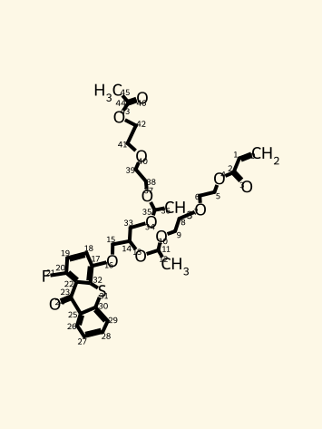 C=CC(=O)OCCOCCOC(C)OC(COc1ccc(F)c2c(=O)c3ccccc3sc12)COC(C)OCCOCCOC(C)=O